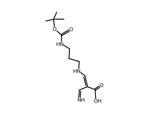 CC(C)(C)OC(=O)NCCCN/C=C(\C=N)C(=O)O